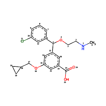 CNCCOC(c1cccc(Cl)c1)c1cc(OCC2CC2)cc(C(=O)O)c1